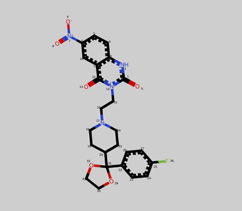 O=c1[nH]c2ccc([N+](=O)[O-])cc2c(=O)n1CCN1CCC(C2(c3ccc(F)cc3)OCCO2)CC1